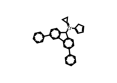 C1=CC[C]([Zr](=[C]2CC2)[CH]2c3ccc(-c4ccccc4)cc3-c3cc(-c4ccccc4)ccc32)=C1